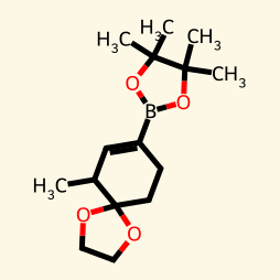 CC1C=C(B2OC(C)(C)C(C)(C)O2)CCC12OCCO2